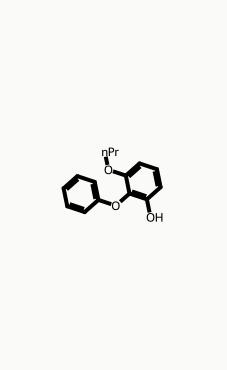 CCCOc1cccc(O)c1Oc1ccccc1